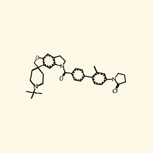 Cc1cc(N2CCCC2=O)ccc1-c1ccc(C(=O)N2CCc3cc4c(cc32)C2(CCN(C(C)(C)C)CC2)CO4)cc1